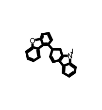 In1c2c(c3ccccc31)C=CC(c1cccc3oc4ccccc4c13)C2